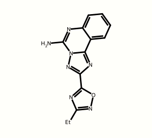 CCc1noc(-c2nc3c4ccccc4nc(N)n3n2)n1